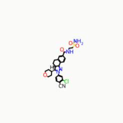 N#Cc1ccc(N2N=C3c4ccc(C(=O)NCCS(N)(=O)=O)cc4CC[C@@H]3[C@@H]2C2CCOCC2)cc1Cl